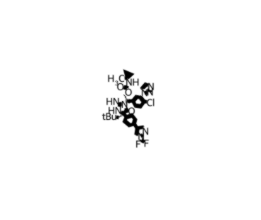 CC(C)(C)C[C@]1(c2ccc(-c3cnn(C(F)F)c3)cc2)NC(=N)N([C@H](COC(=O)NC2(C)CC2)c2ccc(Cl)c(-n3ccnn3)c2)C1=O